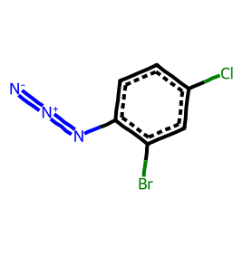 [N-]=[N+]=Nc1ccc(Cl)cc1Br